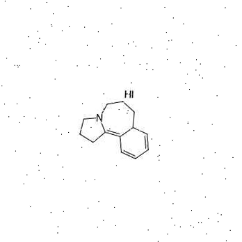 C1=CC2=C3CCCN3CCCC2C=C1.I